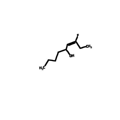 CCCCC(O)/C=C(/F)CC